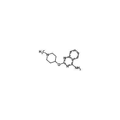 CN1CCC(Oc2nc(N)c3ccccc3n2)CC1